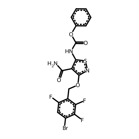 NC(=O)c1c(OCc2c(F)cc(Br)c(F)c2F)nsc1NC(=O)Oc1ccccc1